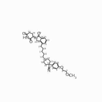 COCCOc1ccc(C2(C#N)CCN(CCCCCc3cccc4c3CN(C3CCC(=O)NC3=O)C4=O)CC2)cc1